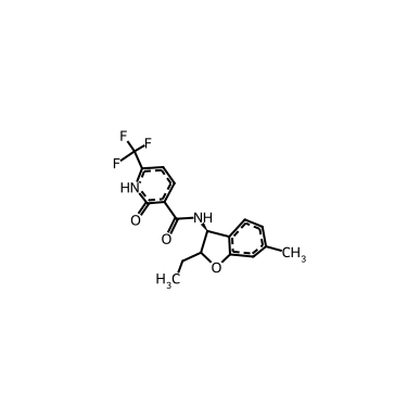 CCC1Oc2cc(C)ccc2[C@@H]1NC(=O)c1ccc(C(F)(F)F)[nH]c1=O